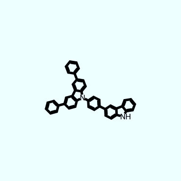 c1ccc(-c2ccc3c(c2)c2cc(-c4ccccc4)ccc2n3-c2ccc(-c3ccc4[nH]c5ccccc5c4c3)cc2)cc1